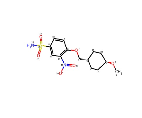 CO[C@H]1CC[C@H](COc2ccc(S(N)(=O)=O)cc2[N+](=O)[O-])CC1